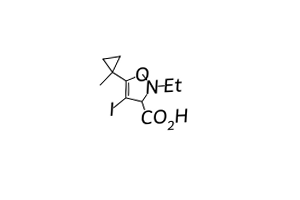 CCN1OC(C2(C)CC2)=C(I)C1C(=O)O